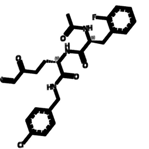 CC(=O)N[C@@H](Cc1ccccc1F)C(=O)N[C@@H](CCC(=O)C=N)C(=O)NCc1ccc(Cl)cc1